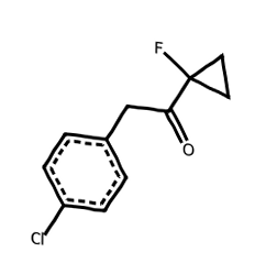 O=C(Cc1ccc(Cl)cc1)C1(F)CC1